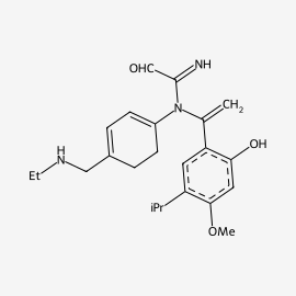 C=C(c1cc(C(C)C)c(OC)cc1O)N(C(=N)C=O)C1=CC=C(CNCC)CC1